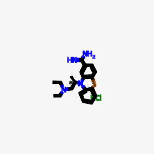 CCN(CC)C[C@@H](C)N1c2ccccc2Sc2ccc(C(=N)N)cc21.Cl